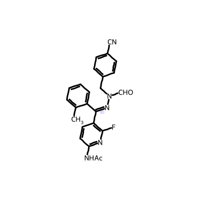 CC(=O)Nc1ccc(/C(=N/N(C=O)Cc2ccc(C#N)cc2)c2ccccc2C)c(F)n1